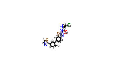 Cc1ccc(-c2nccs2)cc1-c1ccc2nc(NC(=O)[C@@H]3CC3F)sc2c1